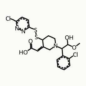 COC(O)C(c1ccccc1Cl)N1CCC(SSc2ccc(Cl)nn2)/C(=C\C(=O)O)C1